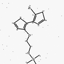 C[Si](C)(C)OCCOC1=C(C2=[C]([Zr])CC=C2)CC=C1